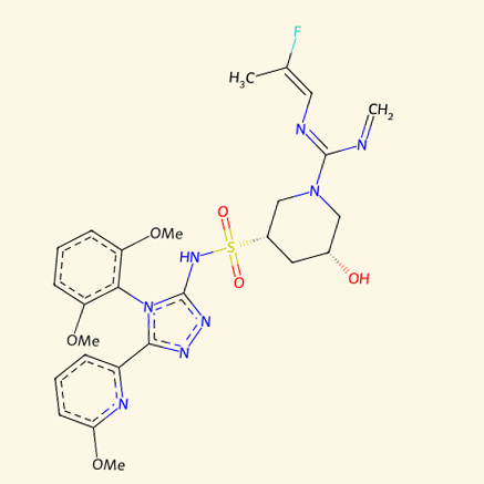 C=N/C(=N\C=C(/C)F)N1C[C@H](O)C[C@H](S(=O)(=O)Nc2nnc(-c3cccc(OC)n3)n2-c2c(OC)cccc2OC)C1